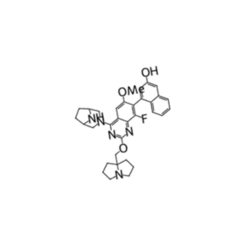 COc1cc2c(N3CC4CCC(C3)N4)nc(OCC34CCCN3CCC4)nc2c(F)c1-c1cc(O)cc2ccccc12